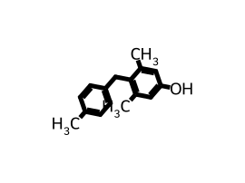 Cc1ccc(Cc2c(C)cc(O)cc2C)cc1